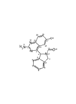 Nc1nc(C2c3ccccc3CN2C=O)c2cc(I)ccc2n1